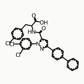 O=C(NC(Cc1ccc(Cl)cc1)C(=O)O)c1cc(-c2ccc(-c3ccccc3)cc2)nn1-c1ccc(Cl)c(Cl)c1